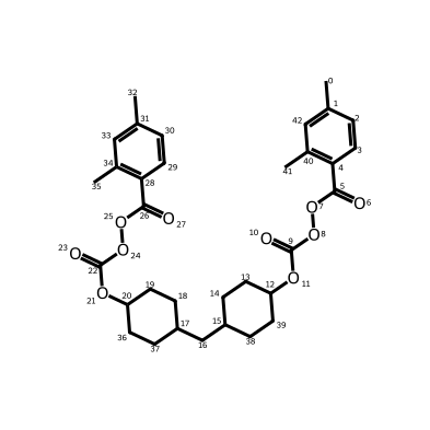 Cc1ccc(C(=O)OOC(=O)OC2CCC(CC3CCC(OC(=O)OOC(=O)c4ccc(C)cc4C)CC3)CC2)c(C)c1